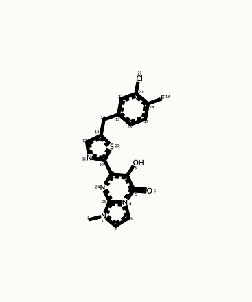 Cn1ccn2c(=O)c(O)c(-c3ncc(Cc4ccc(F)c(Cl)c4)s3)nc12